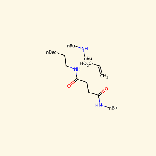 C=CC(=O)O.CCCCCCCCCCCCNC(=O)CCC(=O)NCCCC.CCCCNCCCC